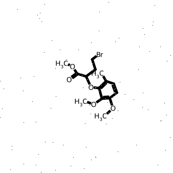 COC(=O)C(CCBr)Oc1c(C)ccc(OC)c1OC